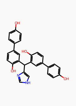 Oc1ccc(-c2ccc(O)c(C(c3c[nH]cn3)c3cc(-c4ccc(O)cc4)ccc3O)c2)cc1